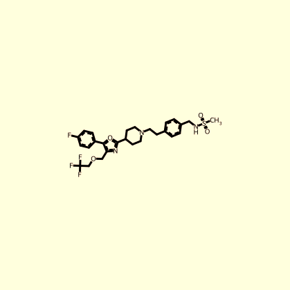 CS(=O)(=O)NCc1ccc(CCN2CCC(c3nc(COCC(F)(F)F)c(-c4ccc(F)cc4)o3)CC2)cc1